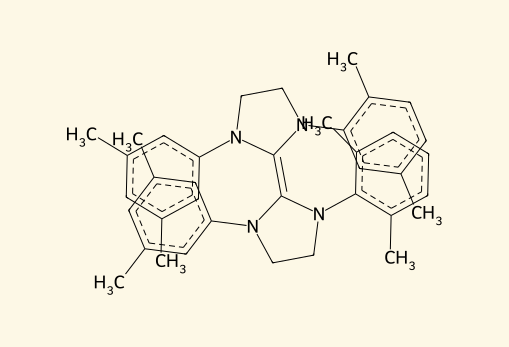 Cc1cc(C)cc(N2CCN(c3cc(C)ccc3C)/C2=C2/N(c3cc(C)cc(C)c3)CCN2c2c(C)cccc2C)c1